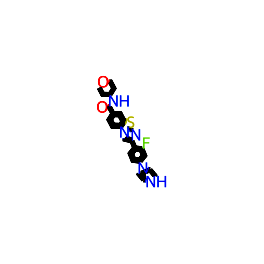 O=C(NC1CCOCC1)c1ccc2c(c1)sc1nc(-c3ccc(N4CC5CC4CN5)cc3F)cn12